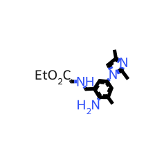 CCOC(=O)CNCc1cc(-n2cc(C)nc2C)cc(C)c1N